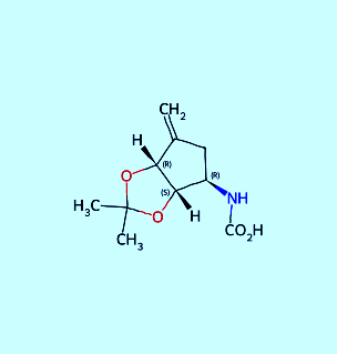 C=C1C[C@@H](NC(=O)O)[C@@H]2OC(C)(C)O[C@H]12